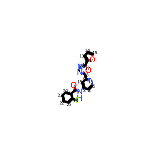 O=C(Nc1ccnc(-c2nnc(-c3ccco3)o2)c1)c1ccccc1F